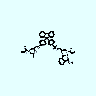 C=CC(=O)OCC(COC(C)(C)c1ccc(C2(c3ccc(OCC(COC(=O)C=C)OC(C)O)cc3)c3ccccc3-c3ccccc32)cc1)OC(=O)C1CC=CCC1C(=O)O